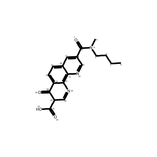 CCCCN(C)C(=O)c1cnc2c3c(ccc2c1)C(=O)C(C(=O)O)C=N3